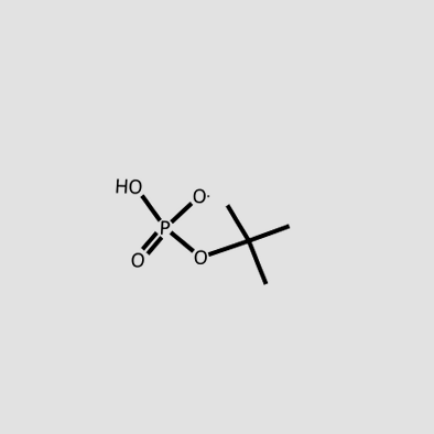 CC(C)(C)OP([O])(=O)O